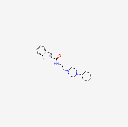 O=C(/C=C/c1ccccc1F)NCCN1CCN(C2CCCCC2)CC1